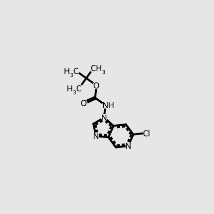 CC(C)(C)OC(=O)Nn1cnc2cnc(Cl)cc21